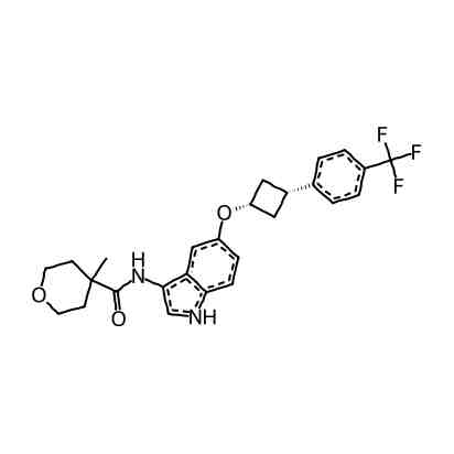 CC1(C(=O)Nc2c[nH]c3ccc(O[C@H]4C[C@@H](c5ccc(C(F)(F)F)cc5)C4)cc23)CCOCC1